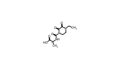 CCN1CCN(C(=O)N[C@@H](C)C(=O)O)C(=O)C1=O